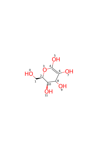 OC[C@H]1OC(O)=C(O)C(O)[C@H]1O